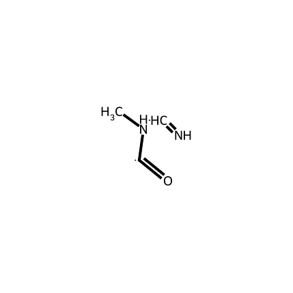 CN[C]=O.[CH]=N